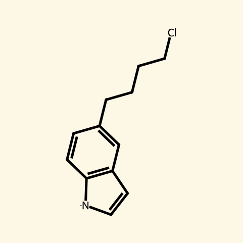 ClCCCCc1ccc2c(c1)C=C[N]2